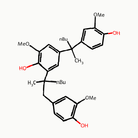 CCCCC(C)(Cc1ccc(O)c(OC)c1)c1cc(C(C)(CCCC)c2ccc(O)c(OC)c2)cc(OC)c1O